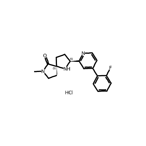 CN1CC[C@@]2(CC[C@@H](c3cc(-c4ccccc4F)ccn3)N2)C1=O.Cl